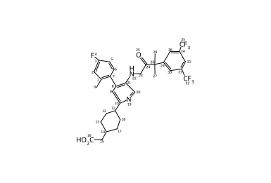 Cc1cc(F)ccc1-c1cc(C2CCC(CC(=O)O)CC2)ncc1NCC(=O)C(C)(C)c1cc(C(F)(F)F)cc(C(F)(F)F)c1